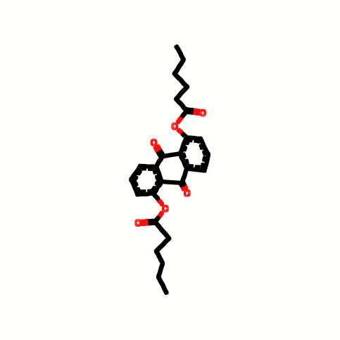 CCCCCC(=O)Oc1cccc2c1C(=O)c1cccc(OC(=O)CCCCC)c1C2=O